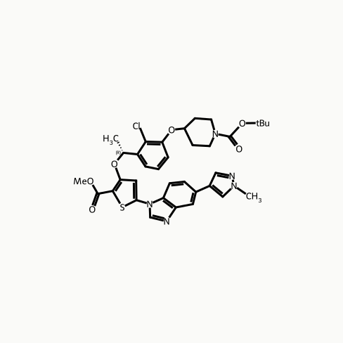 COC(=O)c1sc(-n2cnc3cc(-c4cnn(C)c4)ccc32)cc1O[C@H](C)c1cccc(OC2CCN(C(=O)OC(C)(C)C)CC2)c1Cl